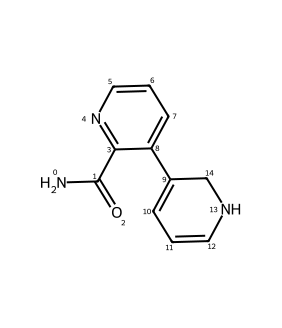 NC(=O)c1ncccc1C1=CC=CNC1